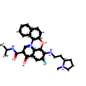 CCCC(CCC)NC(=O)c1cn2c3c(c(NCCC4CCCN4C)c(F)cc3c1=O)Oc1ccc3ccccc3c1-2